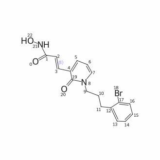 O=C(/C=C/c1cccn(CCCc2ccccc2Br)c1=O)NO